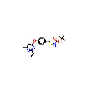 CCc1nc(C)cc(Oc2ccc(CSN(C)C(=O)OC(C)(C)C)cc2)n1